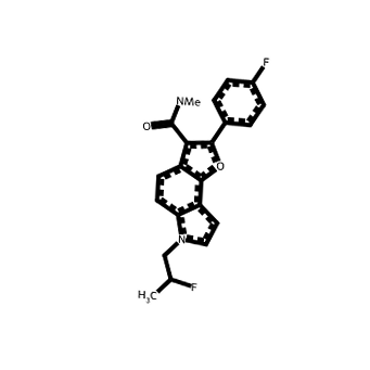 CNC(=O)c1c(-c2ccc(F)cc2)oc2c1ccc1c2ccn1CC(C)F